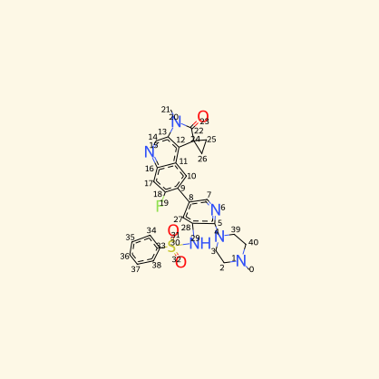 CN1CCN(c2ncc(-c3cc4c5c(cnc4cc3F)N(C)C(=O)C53CC3)cc2NS(=O)(=O)c2ccccc2)CC1